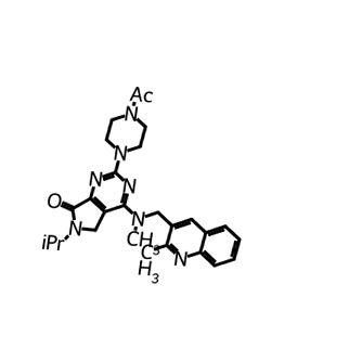 CC(=O)N1CCN(c2nc3c(c(N(C)Cc4cc5ccccc5nc4C)n2)CN(C(C)C)C3=O)CC1